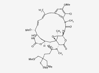 COCC(CCC(=O)N(C)[C@H]1C(=O)O[C@H]2CC(=O)N(C)c3cc(cc(OC)c3Cl)C/C(C)=C/C=C/[C@@H](OC)[C@@]3(O)C[C@H](OC(=O)N3)[C@@H](C)[C@@]13O[C@@]23C)(COC)SSC